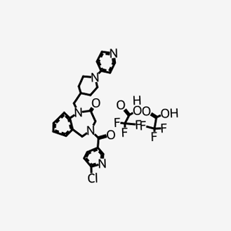 O=C(O)C(F)(F)F.O=C(O)C(F)(F)F.O=C(c1ccc(Cl)nc1)N1CC(=O)N(CC2CCN(c3ccncc3)CC2)c2ccccc2C1